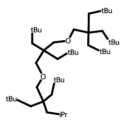 CC(C)CC(COCC(COCC(CC(C)(C)C)(CC(C)(C)C)CC(C)(C)C)(CC(C)(C)C)CC(C)(C)C)(CC(C)(C)C)CC(C)(C)C